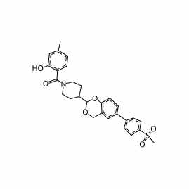 Cc1ccc(C(=O)N2CCC(C3OCc4cc(-c5ccc(S(C)(=O)=O)cc5)ccc4O3)CC2)c(O)c1